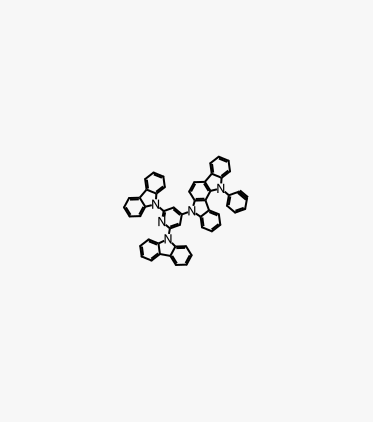 c1cccc(-n2c3ccccc3c3ccc4c(c5ccccc5n4-c4cc(-n5c6ccccc6c6ccccc65)nc(-n5c6ccccc6c6ccccc65)c4)c32)c#1